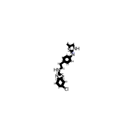 CC1CN/C(=N/c2ccc(CCNc3nc4ccc(Cl)cc4s3)cc2)S1